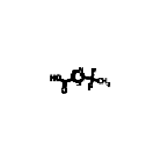 CC(F)(F)c1ncc(C(=O)O)s1